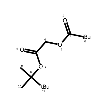 CCC(C)C(=O)OCC(=O)OC(C)(C)C(C)(C)C